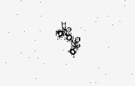 C[C@]1(c2ccccc2)CN([C@H]2CC[C@H](n3c(=O)[nH]c4cnccc43)CC2)C(=O)O1